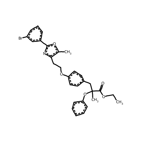 CCOC(=O)C(C)(Cc1ccc(OCCc2nc(-c3cccc(Br)c3)oc2C)cc1)Oc1ccccc1